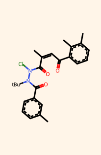 CC(=CC(=O)c1cccc(C)c1C)C(=O)N(Cl)N(C(=O)c1cccc(C)c1)C(C)(C)C